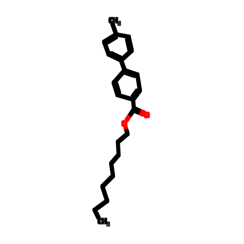 CCCCCCCCCOC(=O)c1ccc(-c2ccc(C)cc2)cc1